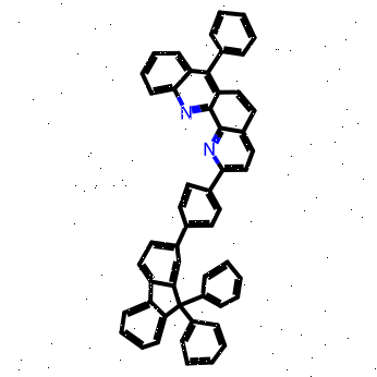 c1ccc(-c2c3ccccc3nc3c2ccc2ccc(-c4ccc(-c5ccc6c(c5)C(c5ccccc5)(c5ccccc5)c5ccccc5-6)cc4)nc23)cc1